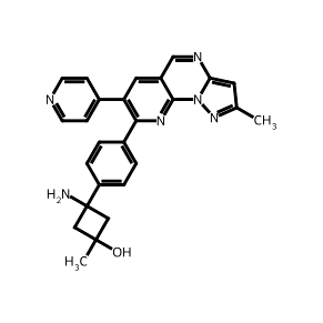 Cc1cc2ncc3cc(-c4ccncc4)c(-c4ccc(C5(N)CC(C)(O)C5)cc4)nc3n2n1